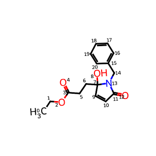 CCOC(=O)CCC1(O)C=CC(=O)N1Cc1ccccc1